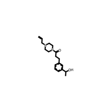 C=CCN1CCN(C(=O)CCc2cccc(C(C)O)c2)CC1